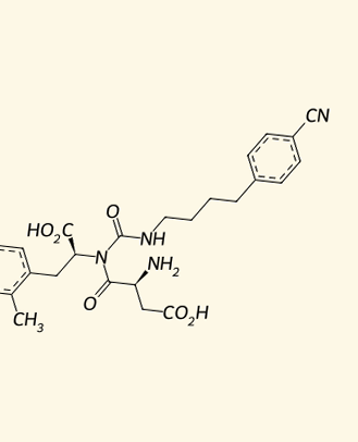 Cc1ccccc1C[C@@H](C(=O)O)N(C(=O)NCCCCc1ccc(C#N)cc1)C(=O)[C@@H](N)CC(=O)O